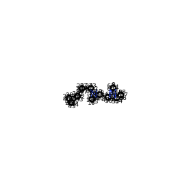 c1ccc(-n2c3cc(-c4ccc5c(c4)c4ccccc4n5-c4cccc(-c5cccc(-c6ccc7c(c6)-c6cccc8cccc-7c68)c5)c4)ccc3c3ccc4ccccc4c32)cc1